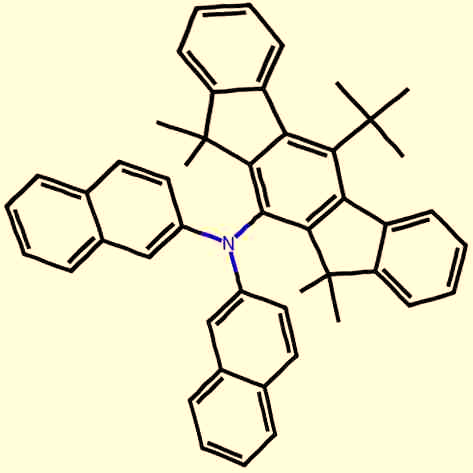 CC(C)(C)c1c2c(c(N(c3ccc4ccccc4c3)c3ccc4ccccc4c3)c3c1-c1ccccc1C3(C)C)C(C)(C)c1ccccc1-2